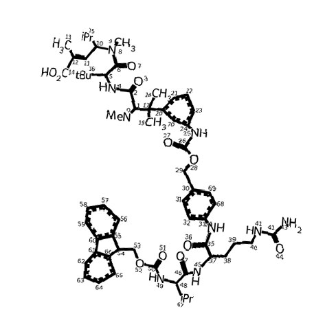 CNC(C(=O)NC(C(=O)N(C)C(C=C(C)C(=O)O)C(C)C)C(C)(C)C)C(C)(C)c1cccc(NC(=O)OCc2ccc(NC(=O)C(CCCNC(N)=O)NC(=O)C(NC(=O)OCC3c4ccccc4-c4ccccc43)C(C)C)cc2)c1